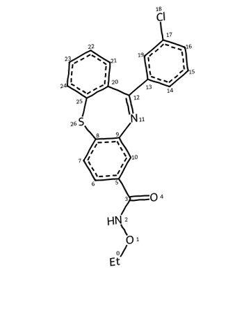 CCONC(=O)c1ccc2c(c1)N=C(c1cccc(Cl)c1)c1ccccc1S2